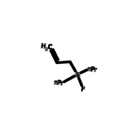 C=CC[Si](F)(CCC)CCC